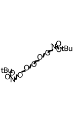 CN(CCOCCOCCOCCOCCOCCN(C)C(=O)OC(C)(C)C)C(=O)OC(C)(C)C